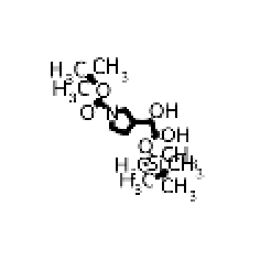 CC(C)(C)OC(=O)N1CCC(C(O)[C@H](O)O[Si](C)(C)C(C)(C)C)C1